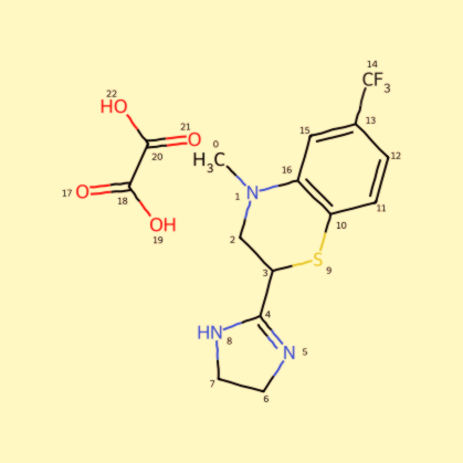 CN1CC(C2=NCCN2)Sc2ccc(C(F)(F)F)cc21.O=C(O)C(=O)O